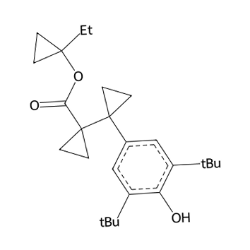 [CH2]CC1(OC(=O)C2(C3(c4cc(C(C)(C)C)c(O)c(C(C)(C)C)c4)CC3)CC2)CC1